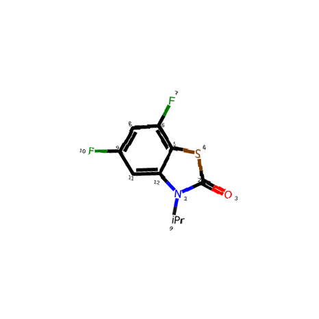 CC(C)n1c(=O)sc2c(F)cc(F)cc21